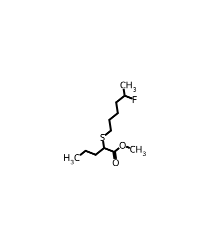 CCCC(SCCCCC(C)F)C(=O)OC